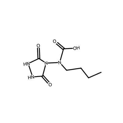 CCCCN(C(=O)O)n1c(=O)[nH][nH]c1=O